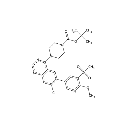 COc1ncc(-c2cc3c(N4CCN(C(=O)OC(C)(C)C)CC4)ncnc3cc2Cl)cc1S(C)(=O)=O